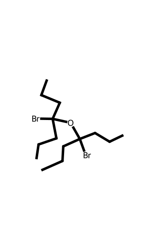 CCCC(Br)(CCC)OC(Br)(CCC)CCC